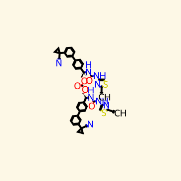 C#Cc1nc(NC(=O)N[C@@H](COC(=O)OC[C@H](NC(=O)Nc2csc(C#C)n2)c2ccc(-c3cccc(C4(C#N)CC4)c3)cc2)c2ccc(-c3cccc(C4(C#N)CC4)c3)cc2)cs1